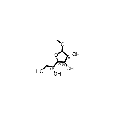 COC1O[C@@H]([C@H](O)CO)[C@H](O)[C@H]1O